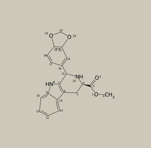 COC(=O)[C@H]1Cc2c([nH]c3ccccc23)C(c2ccc3c(c2)OCO3)N1